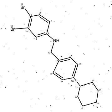 Brc1ccc(NCc2ccc(C3CCCCC3)cc2)cc1Br